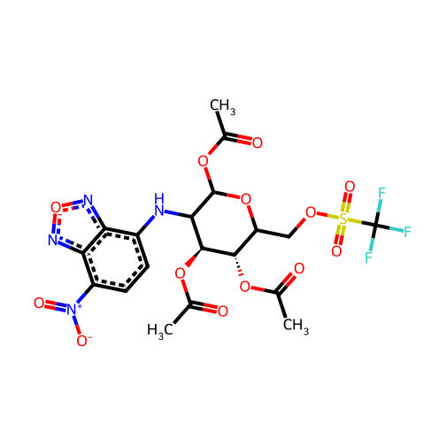 CC(=O)OC1OC(COS(=O)(=O)C(F)(F)F)[C@H](OC(C)=O)[C@@H](OC(C)=O)C1Nc1ccc([N+](=O)[O-])c2nonc12